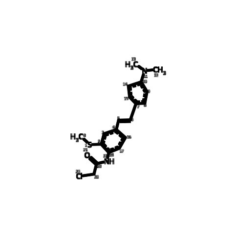 CSc1cc(/C=C/c2ccc(N(C)C)cc2)ccc1NC(=O)CCl